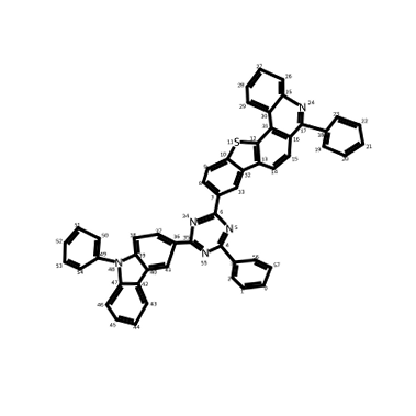 c1ccc(-c2nc(-c3ccc4sc5c(ccc6c(-c7ccccc7)nc7ccccc7c65)c4c3)nc(-c3ccc4c(c3)c3ccccc3n4-c3ccccc3)n2)cc1